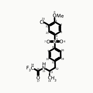 COc1ccc(S(=O)(=O)c2ccc(C[C@@H](C)NC(=O)C(F)(F)F)cc2)cc1Cl